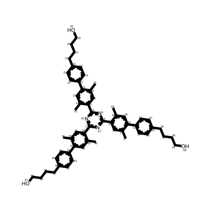 Cc1cc(-c2nc(-c3cc(C)c(-c4ccc(CCCCO)cc4)cc3C)nc(-c3cc(C)c(-c4ccc(CCCCO)cc4)cc3C)n2)c(C)cc1-c1ccc(CCCCO)cc1